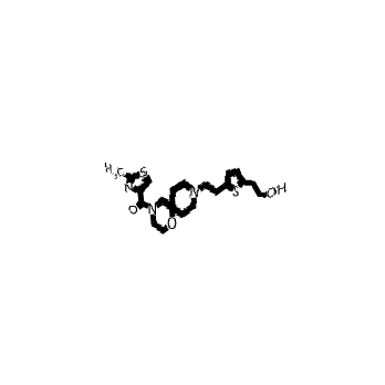 Cc1nc(C(=O)N2CCOC3(CCN(CCc4ccc(CCO)s4)CC3)C2)cs1